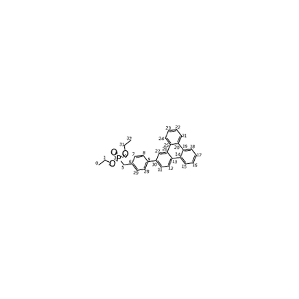 CCOP(=O)(Cc1ccc(-c2ccc3c4ccccc4c4ccccc4c3c2)cc1)OCC